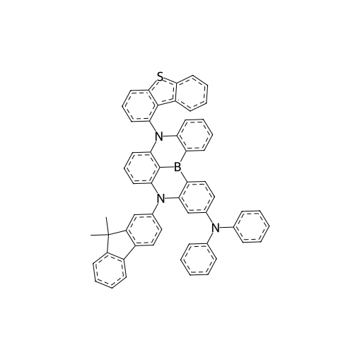 CC1(C)c2ccccc2-c2ccc(N3c4cc(N(c5ccccc5)c5ccccc5)ccc4B4c5ccccc5N(c5cccc6sc7ccccc7c56)c5cccc3c54)cc21